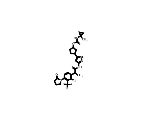 CC(C(=O)Nc1cc(C2CCC(OC(=O)NC3(C)CC3)C2)[nH]n1)c1ccc(N2CCCC2=O)c(C(F)(F)F)c1Cl